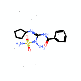 NN(C(=NC1CCCC1)NC(=O)c1ccccc1)S(N)(=O)=O